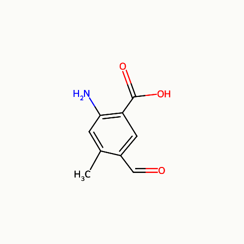 Cc1cc(N)c(C(=O)O)cc1C=O